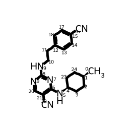 C[C@H]1CC[C@@H](Nc2nc(NCCc3ccc(C#N)cc3)ncc2C#N)CC1